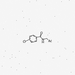 CC(=O)CNC(=O)c1ccc(Cl)cc1